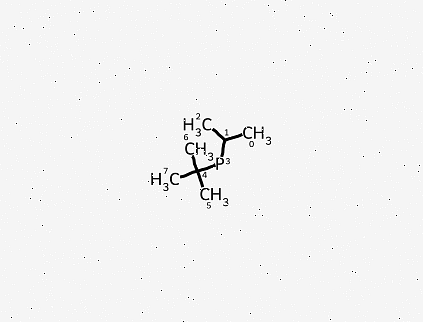 CC(C)[P]C(C)(C)C